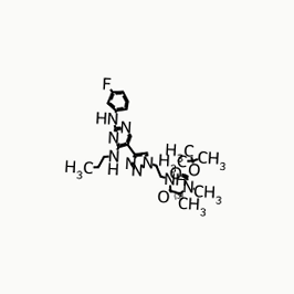 CCCNc1nc(Nc2cccc(F)c2)ncc1-c1cn(CCNC(=O)[C@H](C)N(C)C(=O)OC(C)(C)C)nn1